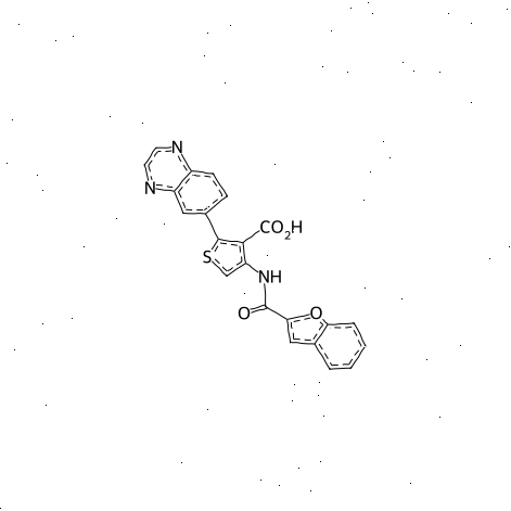 O=C(Nc1csc(-c2ccc3nccnc3c2)c1C(=O)O)c1cc2ccccc2o1